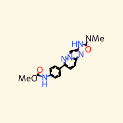 CNC(=O)Nc1cn2nc(-c3ccc(NC(=O)OC)cc3)ccc2n1